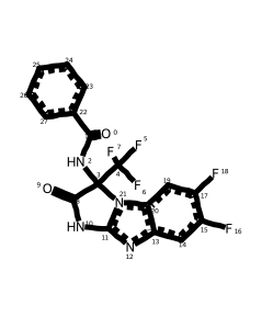 O=C(NC1(C(F)(F)F)C(=O)Nc2nc3cc(F)c(F)cc3n21)c1ccccc1